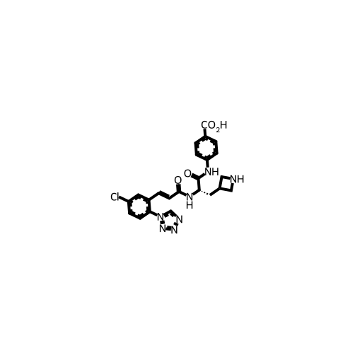 O=C(/C=C/c1cc(Cl)ccc1-n1cnnn1)N[C@@H](CC1CNC1)C(=O)Nc1ccc(C(=O)O)cc1